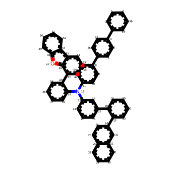 c1ccc(-c2ccc(-c3ccc(N(c4cccc(-c5ccccc5-c5ccc6ccccc6c5)c4)c4ccccc4-c4cccc5c4oc4ccccc45)cc3)cc2)cc1